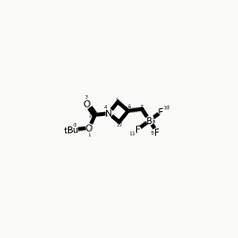 CC(C)(C)OC(=O)N1CC(C[B-](F)(F)F)C1